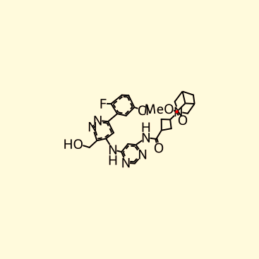 COC(=O)C1C2CC1CN(C1CC(C(=O)Nc3cc(Nc4cc(-c5cc(Cl)ccc5F)nnc4CO)ncn3)C1)C2